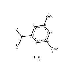 Br.CC(=O)Oc1cc(OC(C)=O)cc(C(C)Br)c1